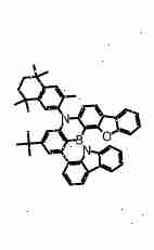 Cc1cc2c(cc1N1c3cc(C(C)(C)C)cc4c3B(c3c1ccc1c3oc3ccccc31)n1c3ccccc3c3cccc-4c31)C(C)(C)CCC2(C)C